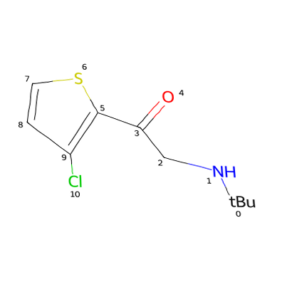 CC(C)(C)NCC(=O)c1sccc1Cl